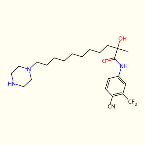 CC(O)(CCCCCCCCCN1CCNCC1)C(=O)Nc1ccc(C#N)c(C(F)(F)F)c1